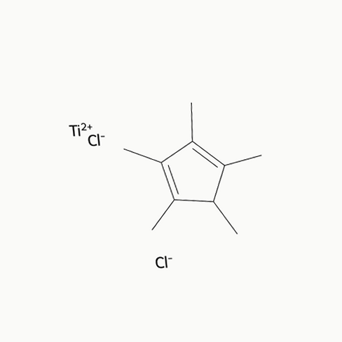 CC1=C(C)C(C)C(C)=C1C.[Cl-].[Cl-].[Ti+2]